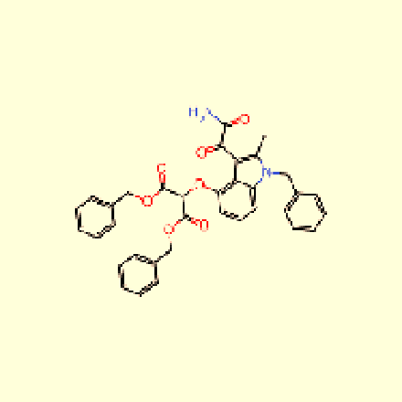 Cc1c(C(=O)C(N)=O)c2c(OC(C(=O)OCc3ccccc3)C(=O)OCc3ccccc3)cccc2n1Cc1ccccc1